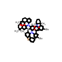 CC(C)(C)c1ccc(N2c3cc(N4c5ccc(C(C)(C)C)cc5C5(C)CCCCC45C)cc4c3B(c3cc5c(cc3N4c3cccc4c3-c3ccccc3CC4)C(C)(C)CCC5(C)C)c3ccc4sc5ccccc5c4c32)c(-c2ccccc2)c1